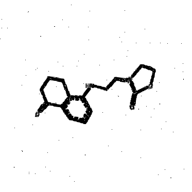 O=C1CCCc2c(NCCN3CCOC3=O)cccc21